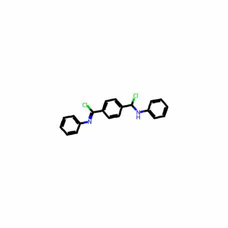 Cl/C(=N\c1ccccc1)c1ccc(C(Cl)Nc2ccccc2)cc1